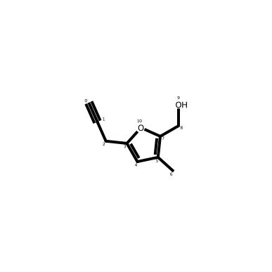 C#CCc1cc(C)c(CO)o1